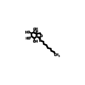 CCCCCCCC/N=C1\OC[C@@H]2[C@H](O)[C@H](O)[C@@H](O)[C@H](O)N12